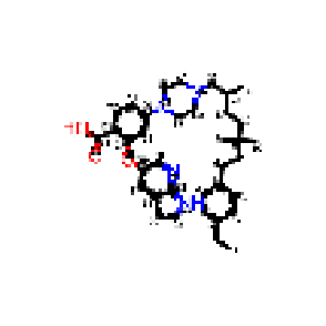 CCc1ccc(CCC(C)(C)CCC(C)CN2CCN(c3ccc(C(=O)O)c(Oc4cnc5[nH]ccc5c4)c3)CC2)cc1